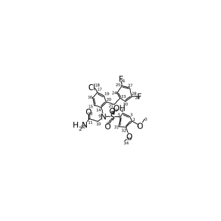 COc1ccc(S(=O)(=O)N(CC(N)=O)c2ccc(Cl)cc2C(O)c2cc(F)cc(F)c2)cc1OC